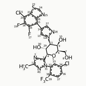 Cc1nc([C@@H]2O[C@H](CO)[C@H](O)[C@H](n3cc(-c4c(F)c(F)c(Cl)c5scnc45)cn3)[C@H]2O)n(-c2cc(Cl)ccc2C(F)(F)F)n1